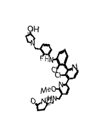 COc1nc(-c2ccnc(-c3cccc(Nc4cccc(CN5CC[C@@H](O)C5)c4F)c3Cl)c2Cl)ccc1CNC[C@H]1CCC(=O)N1